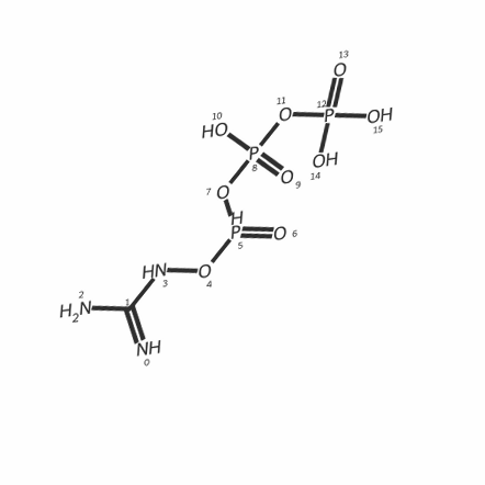 N=C(N)NO[PH](=O)OP(=O)(O)OP(=O)(O)O